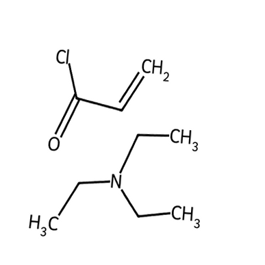 C=CC(=O)Cl.CCN(CC)CC